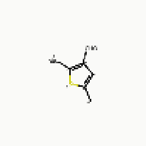 CCCCc1sc(C)cc1C=O